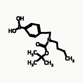 CCCCN(Cc1ccc(B(O)O)cc1)C(=O)OC(C)(C)C